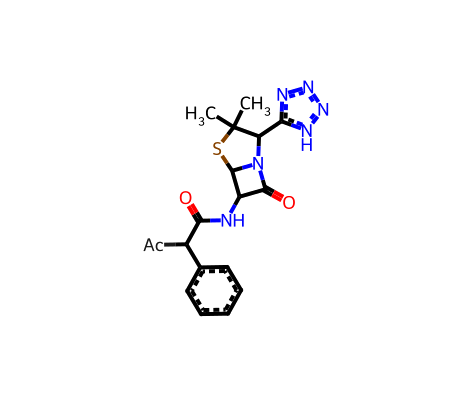 CC(=O)C(C(=O)NC1C(=O)N2C1SC(C)(C)C2c1nnn[nH]1)c1ccccc1